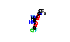 O=C(COc1ccc(Cl)c(F)c1)NC12CCC(NC(=O)COC3C=NC(C(F)(F)F)CC3)(CC1)[C@@H](F)C2